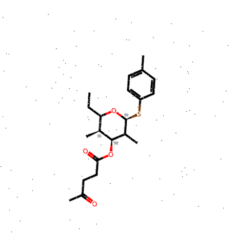 CCC1O[C@@H](Sc2ccc(C)cc2)C(C)[C@@H](OC(=O)CCC(C)=O)[C@H]1C